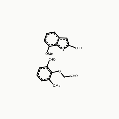 COc1cccc(C=O)c1OCC=O.COc1cccc2cc(C=O)oc12